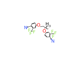 CC(CCOc1ccc(C#N)c(C(F)(F)F)c1)Oc1ccc(C#N)c(C(F)(F)F)c1